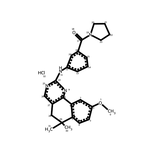 COc1ccc2c(c1)-c1nc(Nc3cccc(C(=O)N4CCCC4)c3)ncc1CC2(C)C.Cl